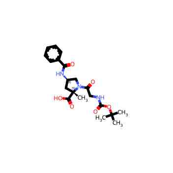 CC(C)(C)OC(=O)NCC(=O)N1C[C@H](NC(=O)c2ccccc2)C[C@@]1(C)C(=O)O